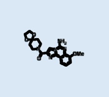 COc1cccc2c1nc(N)n1cc(C(=O)N3CCC4(CC3)OCCO4)nc21